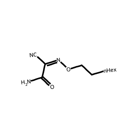 CCCCCCCCON=C(C#N)C(N)=O